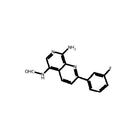 Nc1ncc(NC=O)c2ccc(-c3cccc(F)c3)nc12